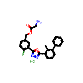 Cc1c(-c2ccccc2)cccc1-c1nnc(-c2cc(COC(=O)CN)ccc2F)o1.Cl